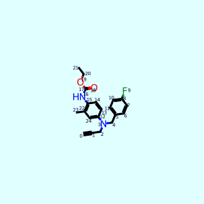 C#CCN(Cc1ccc(F)cc1)c1ccc(NC(=O)OCC)c(C)c1